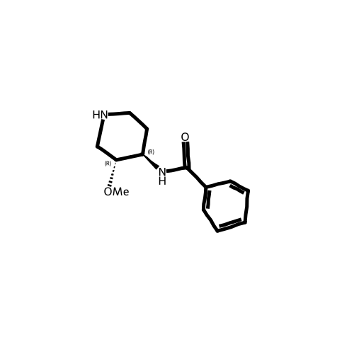 CO[C@@H]1CNCC[C@H]1NC(=O)c1ccccc1